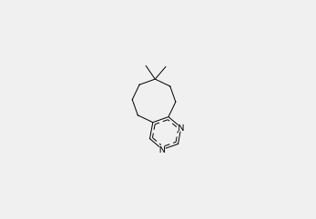 CC1(C)CCCc2cncnc2CC1